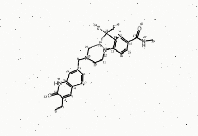 CCc1cc2ncc(CN3CCN(c4ccc(C(=O)NC)nc4C(F)(F)F)CC3)cc2[nH]c1=O